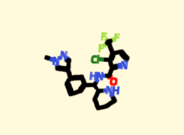 Cn1cc(-c2cccc(C(NC(=O)c3nccc(C(F)(F)F)c3Cl)[C@@H]3CCCCN3)c2)cn1